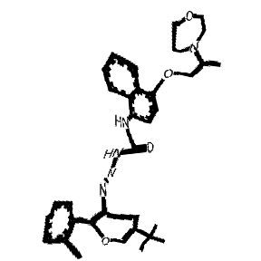 Cc1ccccc1C1OC=C(C(C)(C)C)C=C1N=NNC(=O)Nc1ccc(OCC(C)N2CCOCC2)c2ccccc12